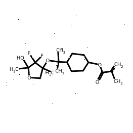 C=C(C)C(=O)OC1CCC(C(C)(C)OC2(C)COC(C)(O)C2(F)F)CC1